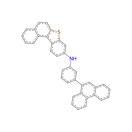 c1cc(Nc2ccc3c(c2)sc2ccc4ccccc4c23)cc(-c2cc3ccccc3c3ccccc23)c1